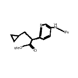 COC(=O)C(CC1CC1)c1ccc(NC(C)C)cn1